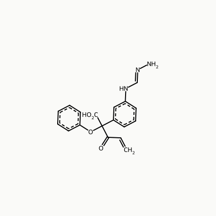 C=CC(=O)C(Oc1ccccc1)(C(=O)O)c1cccc(NC=NN)c1